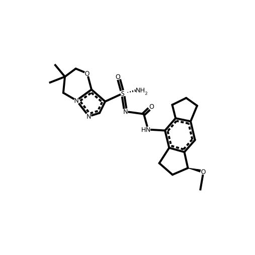 CO[C@H]1CCc2c1cc1c(c2NC(=O)N=[S@](N)(=O)c2cnn3c2OCC(C)(C)C3)CCC1